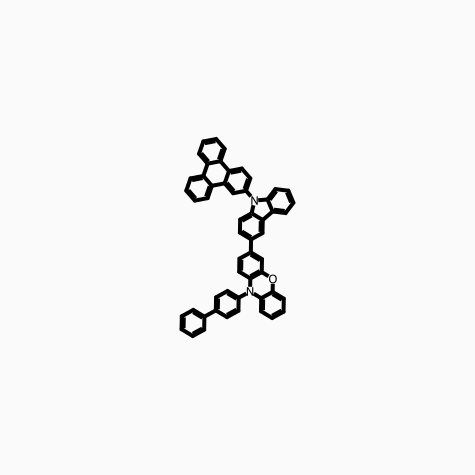 c1ccc(-c2ccc(N3c4ccccc4Oc4cc(-c5ccc6c(c5)c5ccccc5n6-c5ccc6c7ccccc7c7ccccc7c6c5)ccc43)cc2)cc1